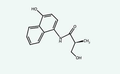 C[C@@H](CO)C(=O)Nc1ccc(O)c2ccccc12